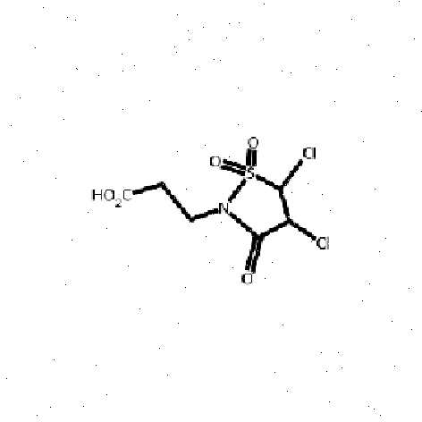 O=C(O)CCN1C(=O)C(Cl)C(Cl)S1(=O)=O